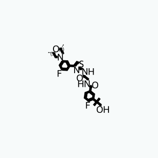 C[C@@H]1CN(c2cc(F)cc(-c3csc(NC(=O)CNC(=O)c4ccc(F)c(C(C)(C)CO)c4)n3)c2)C[C@H](C)O1